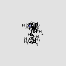 C=C/C(=C\c1[nH]c(C)c(C(=C)NCCCN2CCN(CC(=C)NCCCCCNc3cccc(C(=C)N(C)C(C=C)CCC(=C)NC)c3C=C)CC2)c1C)c1cc(F)ccc1NC